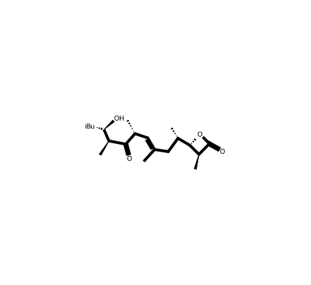 CC[C@@H](C)[C@@H](O)[C@H](C)C(=O)[C@H](C)C=C(C)C[C@H](C)[C@@H]1OC(=O)[C@H]1C